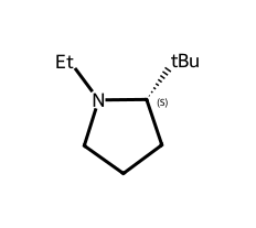 CCN1CCC[C@H]1C(C)(C)C